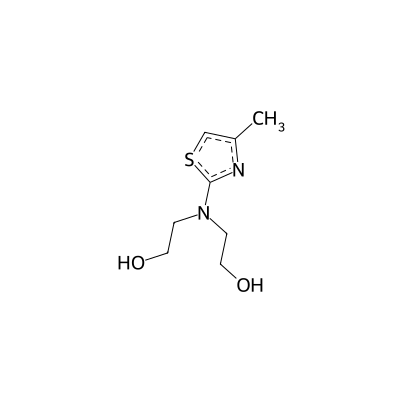 Cc1csc(N(CCO)CCO)n1